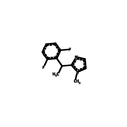 CC(c1c(F)cccc1F)c1nccn1C